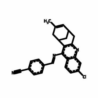 CC1=CC2Cc3nc4cc(Cl)ccc4c(/N=C/c4ccc(C#N)cc4)c3C(C1)C2